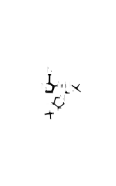 C[C@@H]1[C@H]2OC(C)(C)O[C@H]2[C@H](c2c[nH]c(C#N)c2N)N1C(=O)OC(C)(C)C